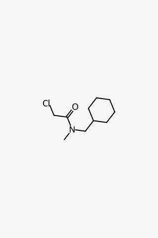 CN(CC1CCCCC1)C(=O)CCl